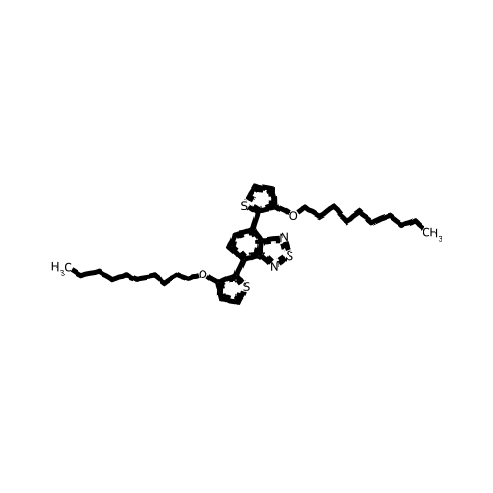 CCCCCCCCCCOc1ccsc1-c1ccc(-c2sccc2OCCCCCCCCCC)c2nsnc12